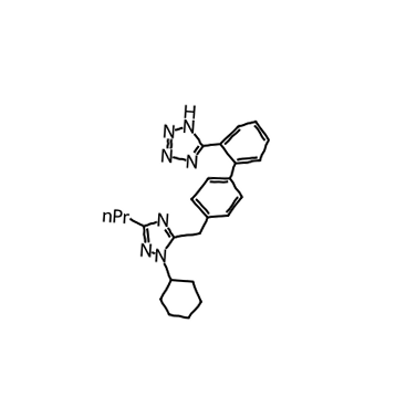 CCCc1nc(Cc2ccc(-c3ccccc3-c3nnn[nH]3)cc2)n(C2CCCCC2)n1